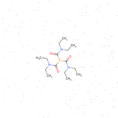 CCN(CC)C(=O)P(C(=O)N(CC)CC)C(=O)N(CC)CC